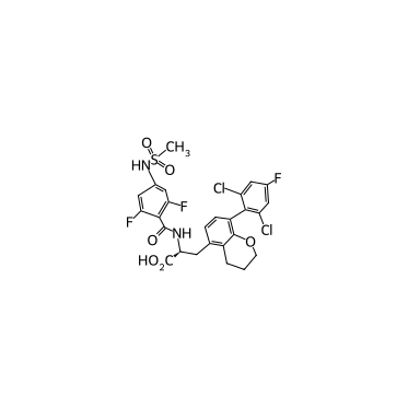 CS(=O)(=O)Nc1cc(F)c(C(=O)N[C@@H](Cc2ccc(-c3c(Cl)cc(F)cc3Cl)c3c2CCCO3)C(=O)O)c(F)c1